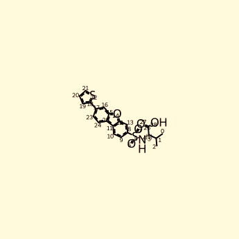 CC(C)[C@H](NS(=O)(=O)c1ccc2c(c1)oc1cc(-c3cccs3)ccc12)C(=O)O